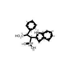 O=C(O)C(c1ccccc1)C(c1cc2ccccc2[nH]1)[PH](=O)O